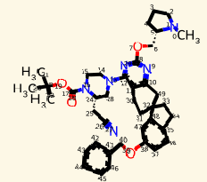 CN1CCC[C@H]1COc1nc2c(c(N3CCN(C(=O)OC(C)(C)C)[C@@H](CC#N)C3)n1)CCC1(CCc3ccc(OCc4ccccc4)cc31)C2